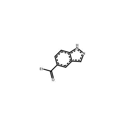 CCC(=O)c1ccc2[nH]ncc2c1